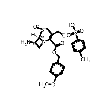 COc1ccc(COC(=O)C2=C(CCl)C[S+]([O-])[C@@H]3[C@H](N)CN23)cc1.Cc1ccc(S(=O)(=O)O)cc1